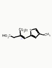 CCOC(=O)/C(=C\c1cc(C)cs1)CC(=O)O